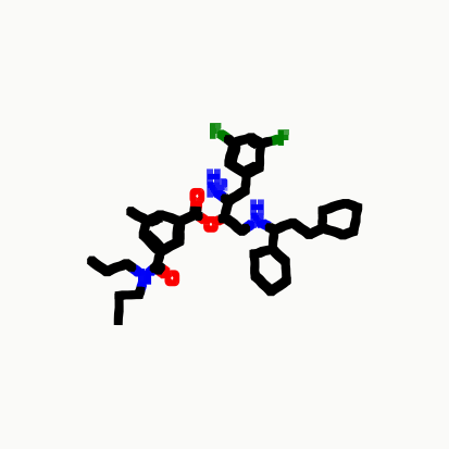 CCCN(CCC)C(=O)c1cc(C)cc(C(=O)OC(CNC(CCC2CCCCC2)C2CCCCC2)C(N)Cc2cc(F)cc(F)c2)c1